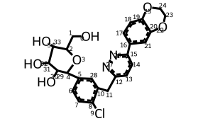 OCC1OC(c2ccc(Cl)c(Cc3ccc(-c4ccc5c(c4)OCCO5)nn3)c2)C(O)C(O)C1O